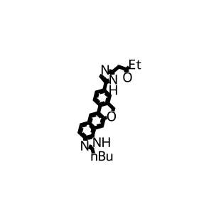 CCCCc1nc2ccc3cc4c(cc3c2[nH]1)OCc1cc(-c2cnc(CC(=O)CC)[nH]2)ccc1-4